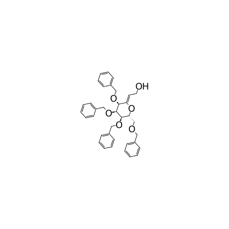 OCC=C1O[C@H](COCc2ccccc2)[C@@H](OCc2ccccc2)[C@@H](OCc2ccccc2)[C@H]1OCc1ccccc1